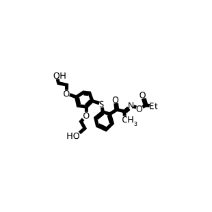 CCC(=O)O/N=C(\C)C(=O)c1ccccc1Sc1ccc(OCCO)cc1OCCO